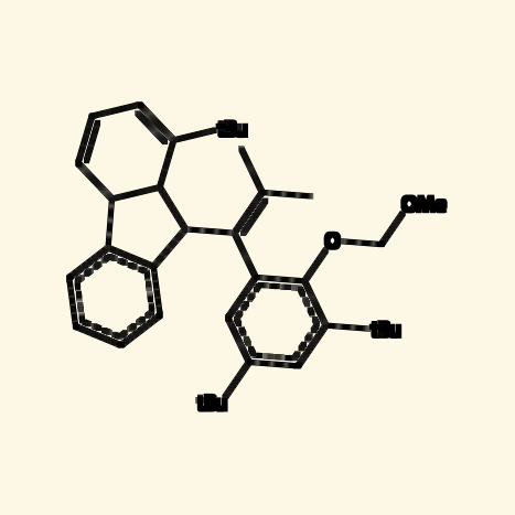 COCOc1c(C(=C(C)C)C2c3ccccc3C3C=CC=C(C(C)(C)C)C32)cc(C(C)(C)C)cc1C(C)(C)C